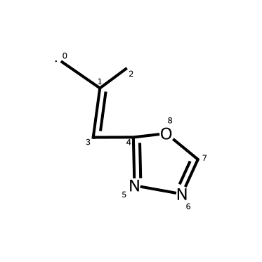 [CH2]C(C)=Cc1nnco1